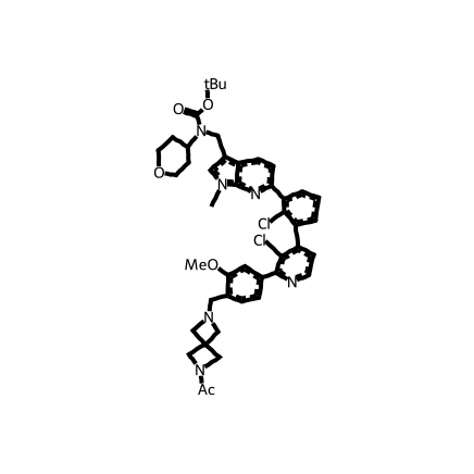 COc1cc(-c2nccc(-c3cccc(-c4ccc5c(CN(C(=O)OC(C)(C)C)C6CCOCC6)cn(C)c5n4)c3Cl)c2Cl)ccc1CN1CC2(C1)CN(C(C)=O)C2